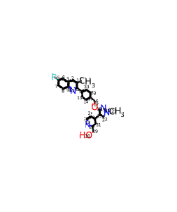 Cc1cc2cc(F)ccc2nc1-c1ccc(COc2nn(C)cc2-c2ccnc(CO)c2)cc1